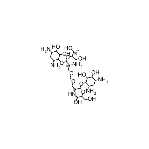 C[C@@H](O)C(CO)OC(OC1C(N)CC(N)C(O)C1O)[C@H](N)COCOC[C@@H]1N[C@H](O)C(CO)OC1OC1C(N)CC(N)C(O)C1O